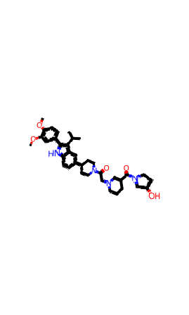 COc1ccc(-c2[nH]c3ccc(C4CCN(C(=O)CN5CCCC(C(=O)N6CCC(O)C6)C5)CC4)cc3c2C(C)C)cc1OC